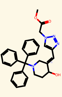 COC(=O)Cn1cc(/C=C2\CN(C(c3ccccc3)(c3ccccc3)c3ccccc3)CCC2O)nn1